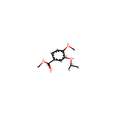 COC(=O)c1ccc(OC)c(OC(C)C)c1